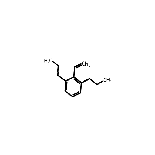 C=Cc1c(CCC)cccc1CCC